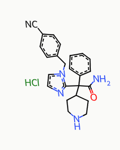 Cl.N#Cc1ccc(Cn2ccnc2C(C(N)=O)(c2ccccc2)C2CCNCC2)cc1